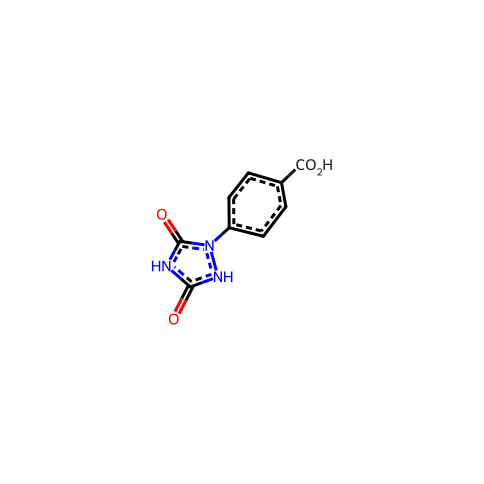 O=C(O)c1ccc(-n2[nH]c(=O)[nH]c2=O)cc1